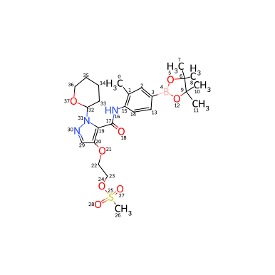 Cc1cc(B2OC(C)(C)C(C)(C)O2)ccc1NC(=O)c1c(OCCOS(C)(=O)=O)cnn1C1CCCCO1